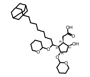 O=C(O)C[C@@H]1[C@H](C(CCCCCCCC23CC4CC(CC(C4)C2)C3)OC2CCCCO2)[C@H](OC2CCCCO2)C[C@@H]1O